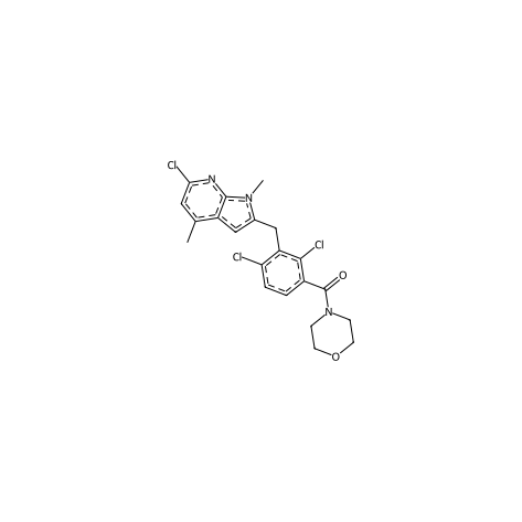 Cc1cc(Cl)nc2c1cc(Cc1c(Cl)ccc(C(=O)N3CCOCC3)c1Cl)n2C